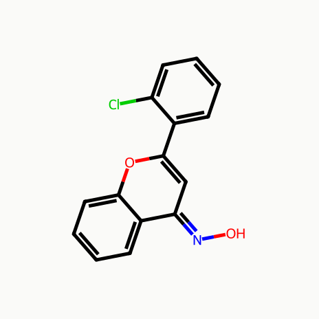 O/N=c1\cc(-c2ccccc2Cl)oc2ccccc12